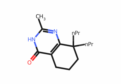 CCCC1(CCC)CCCc2c1nc(C)[nH]c2=O